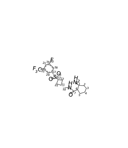 N[C@H]1CCCCC1C(=O)NC[C@H]1C[C@H](S(=O)(=O)c2cc(F)cc(C(F)(F)F)c2)C1